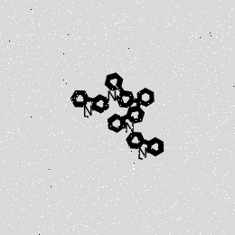 Cn1c2ccccc2c2cc(-n3c4c(c5cc(C6(c7ccc8c(c7)c7ccccc7n8-c7ccc8c(c7)c7ccccc7n8C)CCCCC6)ccc53)C=CCC4)ccc21